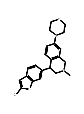 CN1Cc2cc(N3CCOCC3)ccc2C(c2ccc3cc(Cl)sc3c2)C1